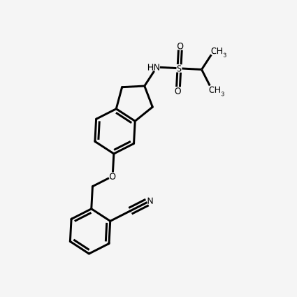 CC(C)S(=O)(=O)NC1Cc2ccc(OCc3ccccc3C#N)cc2C1